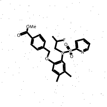 COC(=O)c1ccc(COc2cc(C)c(C)cc2N(CC(C)F)S(=O)(=O)c2ccccn2)cc1